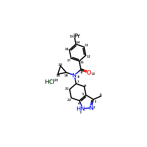 Cc1n[nH]c2c1CC(N(C(=O)c1ccc(C(C)C)cc1)C1CC1)CC2.Cl